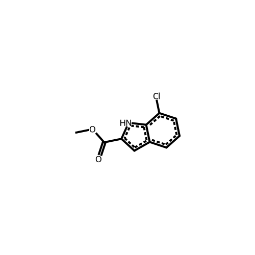 COC(=O)c1cc2cccc(Cl)c2[nH]1